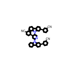 N#Cc1ccc(-c2cc(-n3c4ccccc4c4ccc(-c5cccc(C#N)c5)cc43)ncc2-n2c3ccccc3c3ccc(-c4cccc(C#N)c4)cc32)cc1